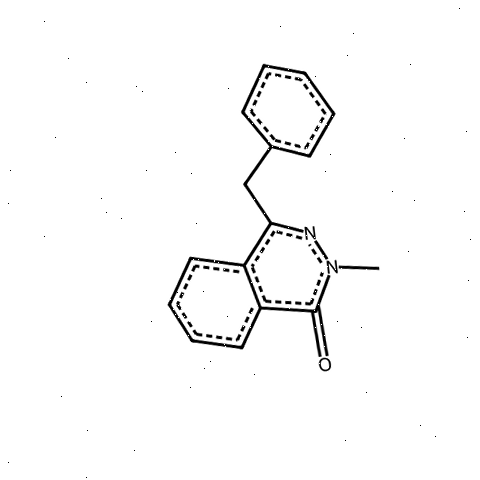 Cn1nc(Cc2ccccc2)c2ccccc2c1=O